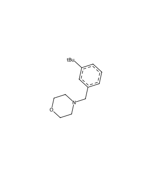 CC(C)(C)c1cccc(CN2CCOCC2)c1